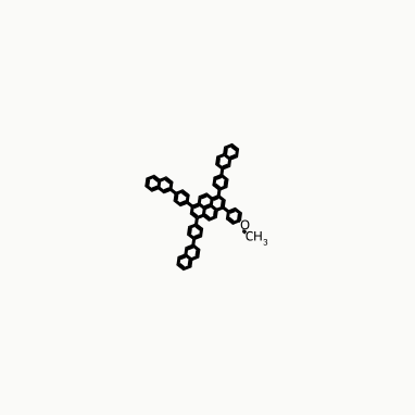 CCOc1ccc(-c2cc(-c3ccc(-c4ccc5ccccc5c4)cc3)c3ccc4c(-c5ccc(-c6ccc7ccccc7c6)cc5)cc(-c5ccc(-c6ccc7ccccc7c6)cc5)c5ccc2c3c54)cc1